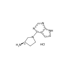 Cl.N[C@@H]1CCN(c2ncnc3[nH]ccc23)C1